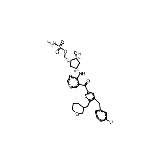 NS(=O)(=O)OC[C@H]1C[C@@H](Nc2ncncc2C(=O)c2cc(Cc3cccc(Cl)c3)c(CC3CCCOC3)s2)C[C@@H]1O